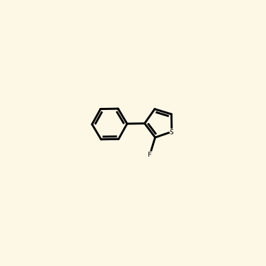 Fc1sccc1-c1ccccc1